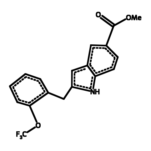 COC(=O)c1ccc2[nH]c(Cc3ccccc3OC(F)(F)F)cc2c1